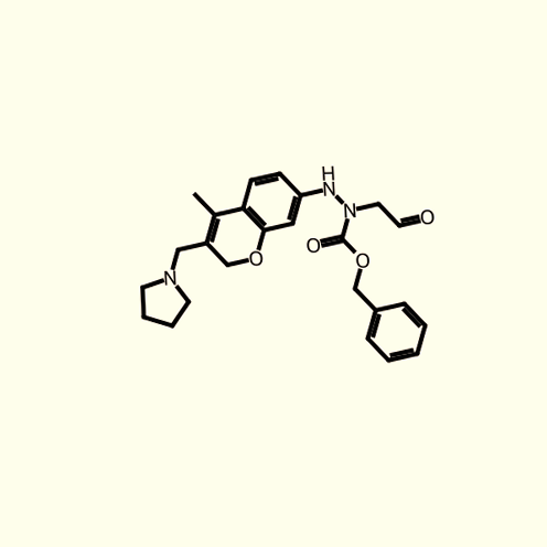 CC1=C(CN2CCCC2)COc2cc(NN(CC=O)C(=O)OCc3ccccc3)ccc21